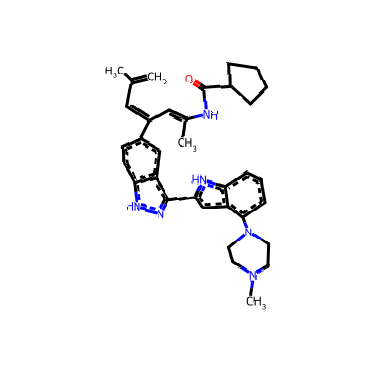 C=C(C)/C=C(\C=C(/C)NC(=O)C1CCCC1)c1ccc2[nH]nc(-c3cc4c(N5CCN(C)CC5)cccc4[nH]3)c2c1